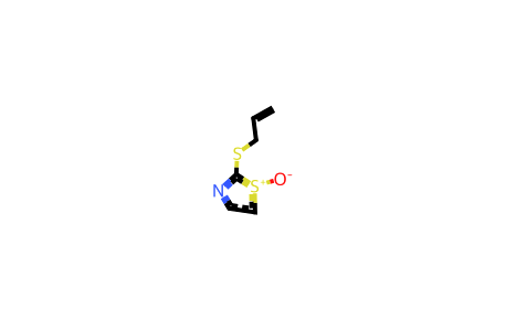 C=CCSc1ncc[s+]1[O-]